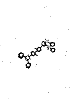 Cc1cc(-c2ccc3c(c2)P(=O)(c2ccccc2)c2ccccc2[Si]3(C)C)ccc1-c1ccc(-c2nc(-c3ccccc3)nc(-c3ccccc3)n2)cc1C